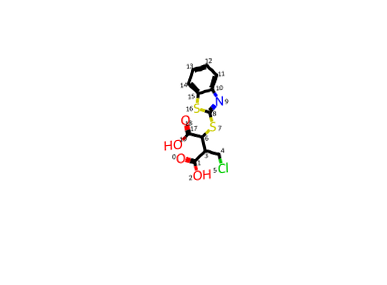 O=C(O)C(CCl)C(Sc1nc2ccccc2s1)C(=O)O